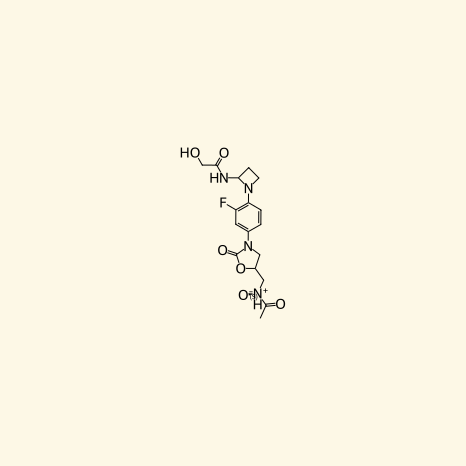 CC(=O)[N@@H+]([O-])CC1CN(c2ccc(N3CCC3NC(=O)CO)c(F)c2)C(=O)O1